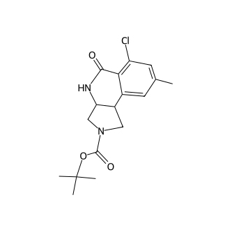 Cc1cc(Cl)c2c(c1)C1CN(C(=O)OC(C)(C)C)CC1NC2=O